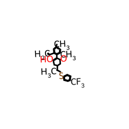 C=Cc1cc(C)cc(C)c1C1=C(O)CC(C(C)CSc2ccc(C(F)(F)F)cc2)CC1=O